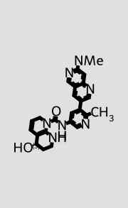 CNc1cc2ncc(-c3cc(NC(=O)N4CC=CC5=C4NCC[C@@H]5O)cnc3C)cc2cn1